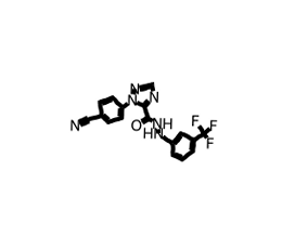 N#Cc1ccc(-n2ncnc2C(=O)NNc2cccc(C(F)(F)F)c2)cc1